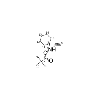 C#CC1(NOC(=O)C(C)(C)C)CCCCC1